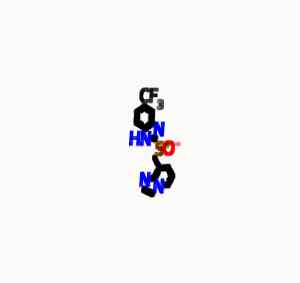 [O-][S+](Cc1cccn2ccnc12)c1nc2cc(C(F)(F)F)ccc2[nH]1